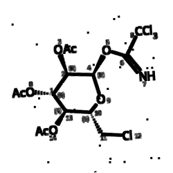 CC(=O)O[C@@H]1[C@@H](OC(C)=O)[C@@H](OC(=N)C(Cl)(Cl)Cl)O[C@H](CCl)[C@H]1OC(C)=O